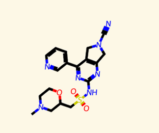 CN1CCOC(CS(=O)(=O)Nc2nc3c(c(-c4cccnc4)n2)CN(C#N)C3)C1